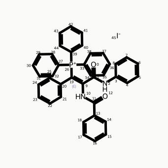 O=C(Nc1ccccc1)/C(NC(=O)c1ccccc1)=C(/c1ccccc1)[P+](c1ccccc1)(c1ccccc1)c1ccccc1.[I-]